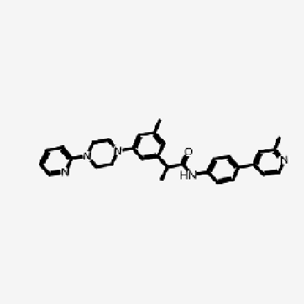 Cc1cc(C(C)C(=O)Nc2ccc(-c3ccnc(C)c3)cc2)cc(N2CCN(c3ccccn3)CC2)c1